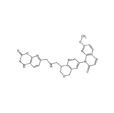 COc1ccc2ncc(=O)n(-c3cnc4c(c3)COCC4CNCc3ccc4c(n3)OC(=O)CN4)c2n1